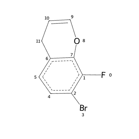 Fc1c(Br)ccc2c1OC=CC2